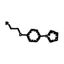 BrCCOc1ccc(-n2cccc2)cc1